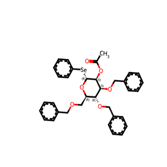 CC(=O)O[C@H]1[C@@H](OCc2ccccc2)[C@H](OCc2ccccc2)[C@@H](COCc2ccccc2)O[C@@H]1[Se]c1ccccc1